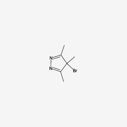 CC1=NN=C(C)C1(C)Br